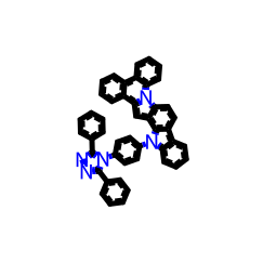 c1ccc(-c2nnc(-c3ccccc3)n2-c2ccc(-n3c4ccccc4c4ccc5c(cc6c7ccccc7c7ccccc7n65)c43)cc2)cc1